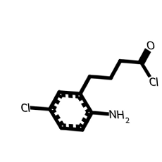 Nc1ccc(Cl)cc1CCCC(=O)Cl